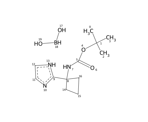 CC(C)(C)OC(=O)NC1(c2ncc[nH]2)CCC1.OBO